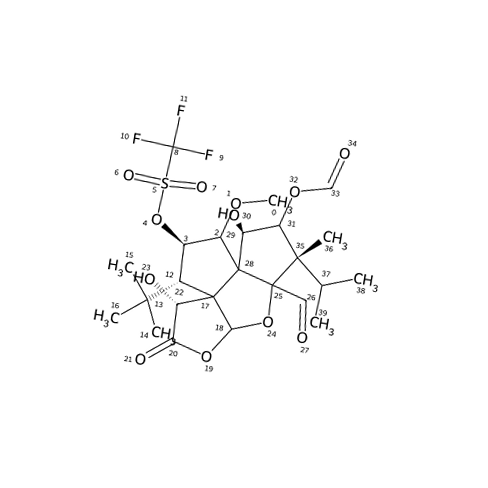 COC1[C@H](OS(=O)(=O)C(F)(F)F)[C@@H](C(C)(C)C)C23C(OC(=O)[C@@H]2O)OC2(C=O)C13[C@@H](O)C(OC=O)[C@]2(C)C(C)C